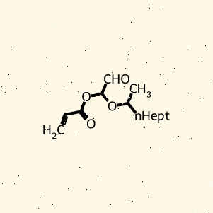 C=CC(=O)OC(C=O)OC(C)CCCCCCC